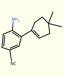 [C-]#[N+]c1ccc(N)c(C2=CCC(C)(C)CC2)c1